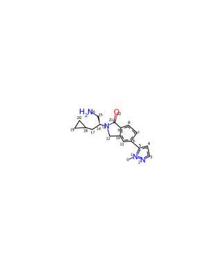 Cn1nccc1-c1ccc2c(c1)CN([C@H](CN)CC1CC1)C2=O